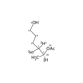 [2H]C([2H])(CCCO)[C@]([2H])(C)OC(C)=O